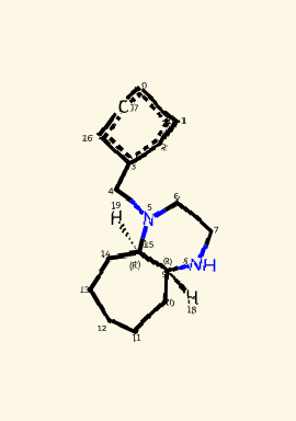 c1ccc(CN2CCN[C@@H]3CCCCC[C@H]32)cc1